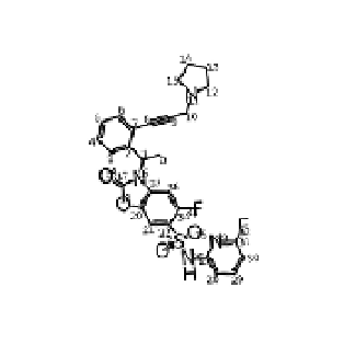 CC(c1ccccc1C#CCN1CCCC1)n1c(=O)oc2cc(S(=O)(=O)Nc3cccc(F)n3)c(F)cc21